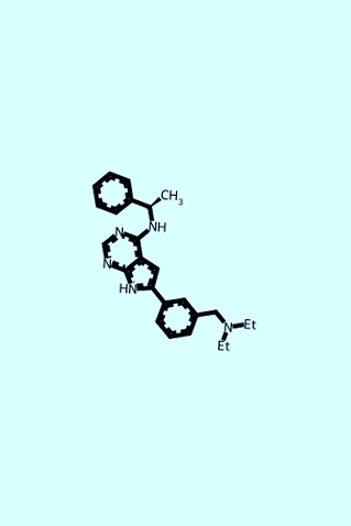 CCN(CC)Cc1cccc(-c2cc3c(N[C@H](C)c4ccccc4)ncnc3[nH]2)c1